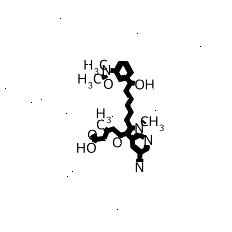 CC(=O)N(C)c1cccc(C(O)CCCCCc2c(C(=O)CC(C)CC(=O)O)c3cc(C#N)cnc3n2C)c1